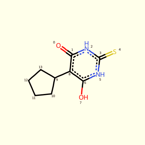 O=c1[nH]c(=S)[nH]c(O)c1C1CCCC1